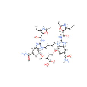 CCc1nc(C)oc1C(=O)Nc1nc2cc(C(N)=O)cc(OC)c2n1CC=CCn1c(NC(=O)c2oc(C)nc2CC)nc2cc(C(N)=O)cc(OCCCC(=O)O)c21